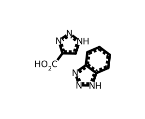 O=C(O)c1c[nH]nn1.c1ccc2[nH]nnc2c1